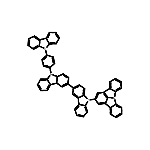 C1=CC2C(C=C1c1ccc3c(c1)c1ccccc1n3-c1cc3c4ccccc4n4c5ccccc5c(c1)c34)c1ccccc1N2c1ccc(-n2c3ccccc3c3ccccc32)cc1